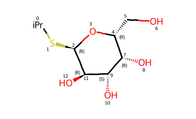 CC(C)S[C@H]1O[C@H](CO)[C@H](O)[C@H](O)[C@H]1O